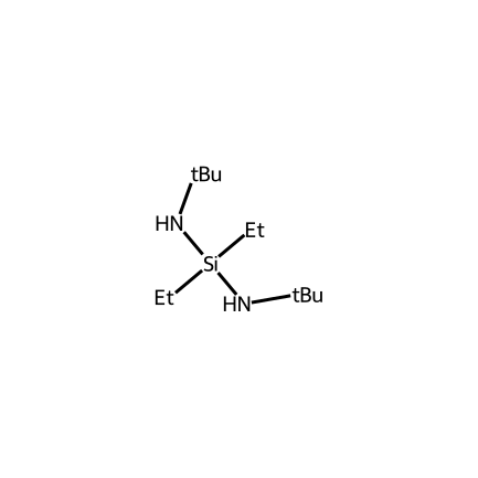 CC[Si](CC)(NC(C)(C)C)NC(C)(C)C